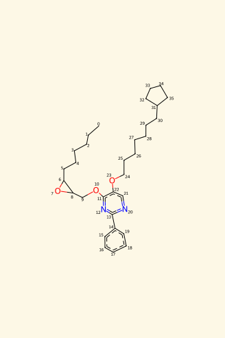 CCCCCCC1OC1COc1nc(-c2ccccc2)ncc1OCCCCCCCC1CCCC1